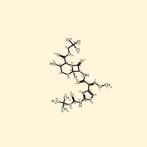 CON=C(C(=O)N[C@@H]1C(=O)N2C(C(=O)OCC(Cl)(Cl)Cl)C(O)CS[C@@H]12)c1csc(NC(=O)OC(C)(C)C)n1